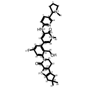 CN1CCCC1c1ccc(Nc2cc(-c3cc(F)cc(N4CCc5c(sc6c5CC(C)(C)C6)C4=O)c3CO)cn(C)c2=O)nc1